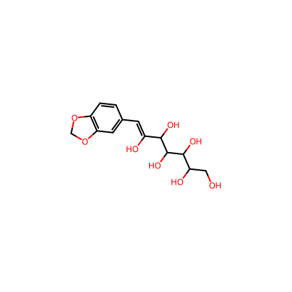 OCC(O)C(O)C(O)C(O)C(O)=Cc1ccc2c(c1)OCO2